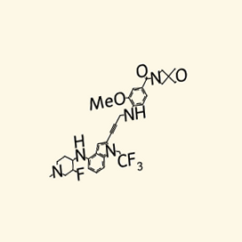 COc1cc(C(=O)N2CC3(COC3)C2)ccc1NCC#Cc1cc2c(N[C@@H]3CCN(C)C[C@@H]3F)cccc2n1CC(F)(F)F